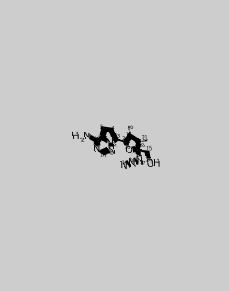 C[C@H]1[C@H](c2ccc3c(N)ncnn23)O[C@@](CO)(N=[N+]=[N-])[C@H]1C